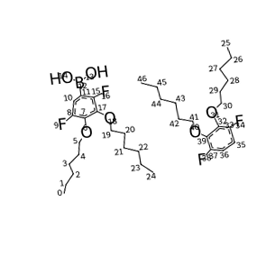 CCCCCCOc1c(F)cc(B(O)O)c(F)c1OCCCCCC.CCCCCCOc1c(F)ccc(F)c1OCCCCCC